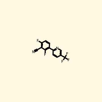 N#Cc1c(F)ccc(-c2ccc(C(F)(F)F)cn2)c1F